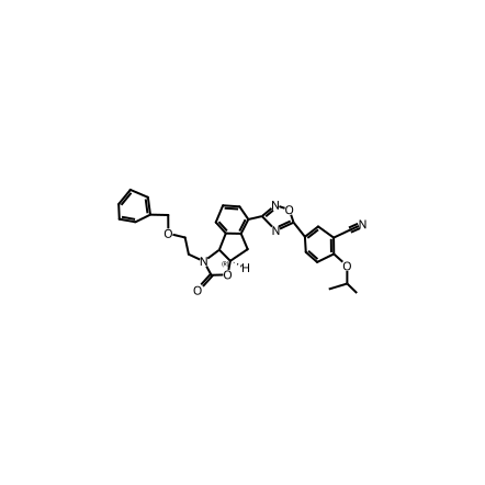 CC(C)Oc1ccc(-c2nc(-c3cccc4c3C[C@H]3OC(=O)N(CCOCc5ccccc5)C43)no2)cc1C#N